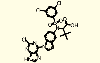 CC(C)(C)C(C(=O)O)N(c1ccc2c(ccn2-c2nc(Cl)nc3[nH]cnc23)c1)S(=O)(=O)c1cc(Cl)cc(Cl)c1